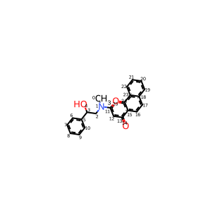 CN(CC(O)c1ccccc1)c1cc(=O)c2ccc3ccccc3c2o1